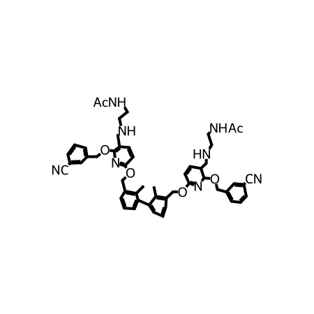 CC(=O)NCCNCc1ccc(OCc2cccc(-c3cccc(COC4=NC(OCc5cccc(C#N)c5)C(CNCCNC(C)=O)C=C4)c3C)c2C)nc1OCc1cccc(C#N)c1